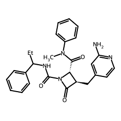 CCC(NC(=O)N1C(=O)[C@H](Cc2ccnc(N)c2)[C@H]1C(=O)N(C)c1ccccc1)c1ccccc1